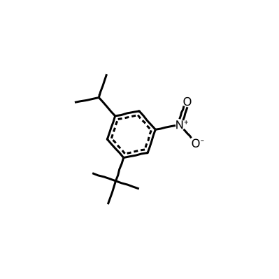 C[C](C)c1cc([N+](=O)[O-])cc(C(C)(C)C)c1